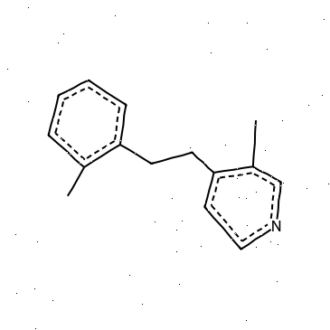 Cc1ccccc1CCc1ccncc1C